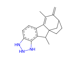 C=C1C(C)=C2c3ccc4c(c3C(C)C23CCC1C3)NNN4